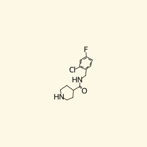 O=C(NCc1ccc(F)cc1Cl)C1CCNCC1